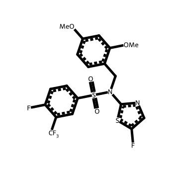 COc1ccc(CN(c2ncc(F)s2)S(=O)(=O)c2ccc(F)c(C(F)(F)F)c2)c(OC)c1